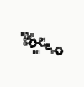 Cl.NS(=O)(=O)c1cc(C(O)CNCCSc2ccccc2)ccc1Cl